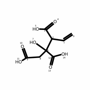 C=CC(C(=O)O)C(O)(CC(=O)O)C(=O)O